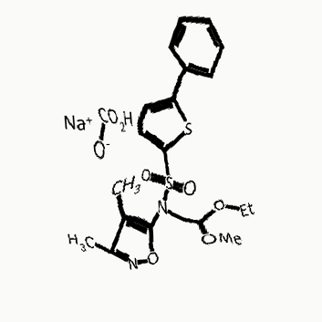 CCOC(OC)N(c1onc(C)c1C)S(=O)(=O)c1ccc(-c2ccccc2)s1.O=C([O-])O.[Na+]